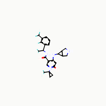 O=C(NC(c1cccc(C(F)F)c1F)C(F)F)c1cn(C2(C(F)F)CC2)c(=O)cc1NC1[C@H]2CNC[C@@H]12